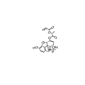 CCCC(=O)O[C@@H](C)C(=O)OC1=CC[C@@]2(O)[C@H]3Cc4ccc(O)c5c4C2(CCN3C)C1O5